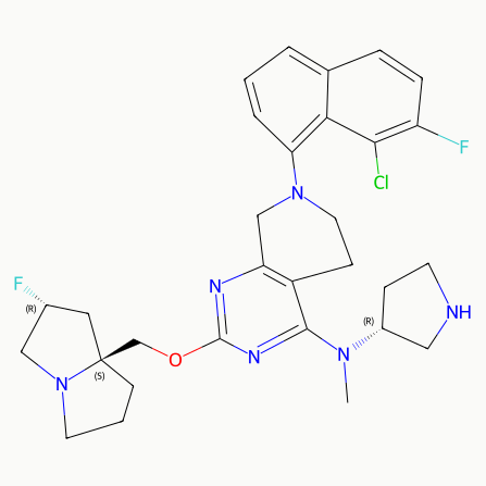 CN(c1nc(OC[C@@]23CCCN2C[C@H](F)C3)nc2c1CCN(c1cccc3ccc(F)c(Cl)c13)C2)[C@@H]1CCNC1